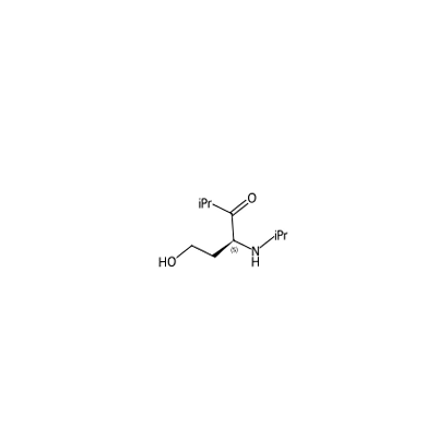 CC(C)N[C@@H](CCO)C(=O)C(C)C